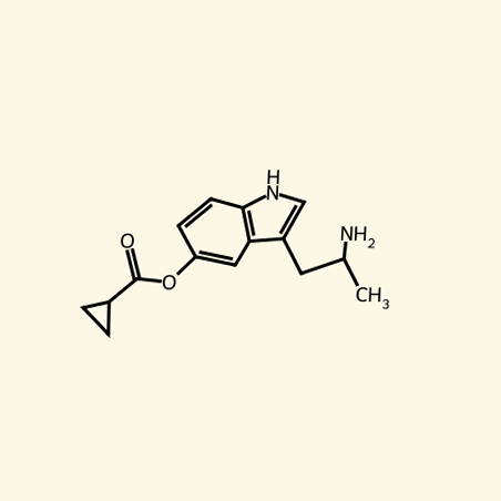 CC(N)Cc1c[nH]c2ccc(OC(=O)C3CC3)cc12